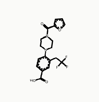 O=C(O)c1ccc(N2CCN(C(=O)c3ccco3)CC2)c(CC(F)(F)F)c1